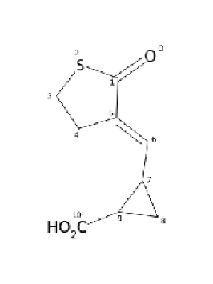 O=C1SCCC1=CC1CC1C(=O)O